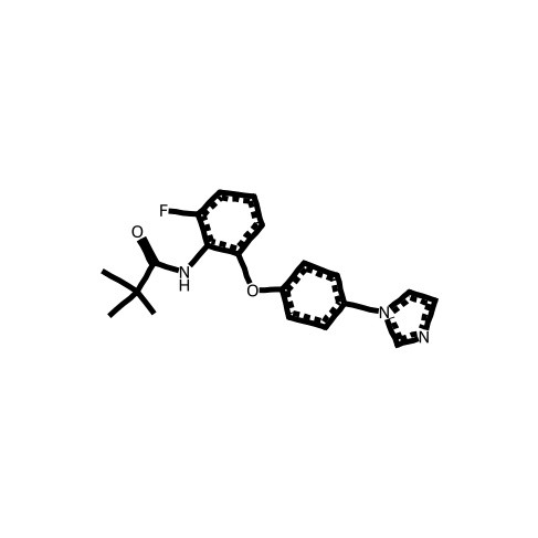 CC(C)(C)C(=O)Nc1c(F)cccc1Oc1ccc(-n2ccnc2)cc1